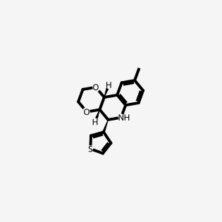 Cc1ccc2c(c1)[C@H]1OCCO[C@H]1[C@H](c1ccsc1)N2